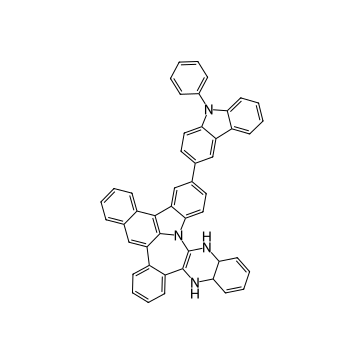 C1=CC2NC3=C(NC2C=C1)n1c2ccc(-c4ccc5c(c4)c4ccccc4n5-c4ccccc4)cc2c2c4ccccc4cc(c21)-c1ccccc13